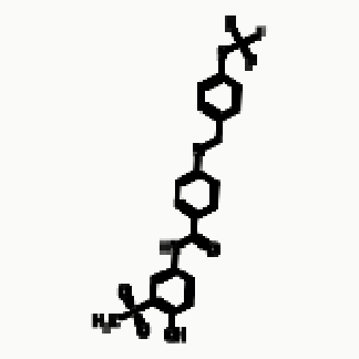 CS(=O)(=O)c1cc(NC(=O)c2ccc(SCc3ccc(SC(F)(F)F)cc3)cc2)ccc1O